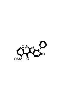 COc1ccccc1C(=O)c1c([N+](=O)[O-])sc2c1ccc(=O)n2-c1ccccc1